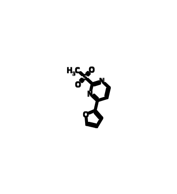 CS(=O)(=O)c1nccc(-c2ccco2)n1